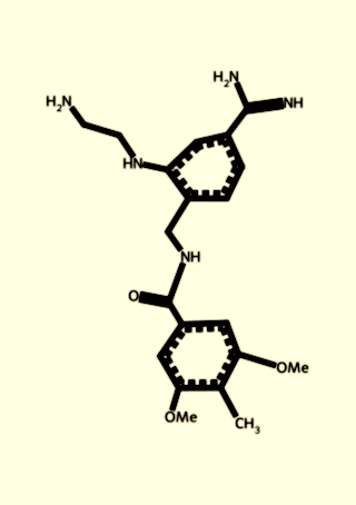 COc1cc(C(=O)NCc2ccc(C(=N)N)cc2NCCN)cc(OC)c1C